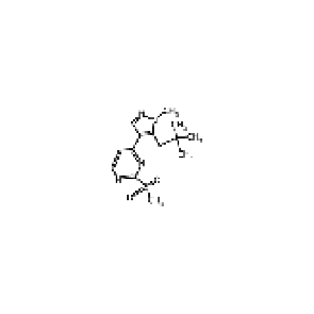 Cn1ncc(-c2ccnc(S(C)(=O)=O)n2)c1CC(C)(C)C